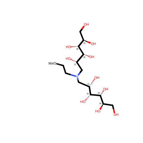 COCCN(C[C@H](O)[C@@H](O)[C@H](O)[C@H](O)CO)C[C@H](O)[C@@H](O)[C@H](O)[C@H](O)CO